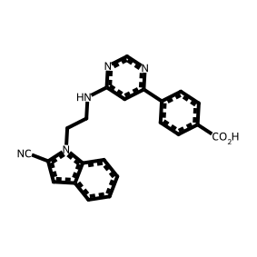 N#Cc1cc2ccccc2n1CCNc1cc(-c2ccc(C(=O)O)cc2)ncn1